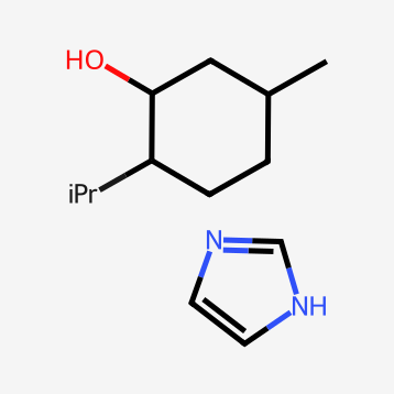 CC1CCC(C(C)C)C(O)C1.c1c[nH]cn1